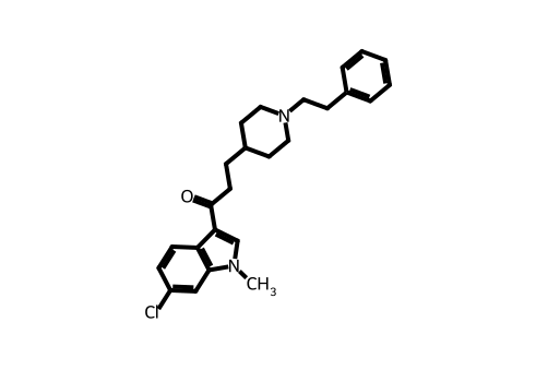 Cn1cc(C(=O)CCC2CCN(CCc3ccccc3)CC2)c2ccc(Cl)cc21